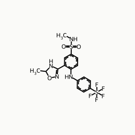 CNS(=O)(=O)c1ccc(Nc2ccc(S(F)(F)(F)(F)F)cc2)c(C2=NOC(C)N2)c1